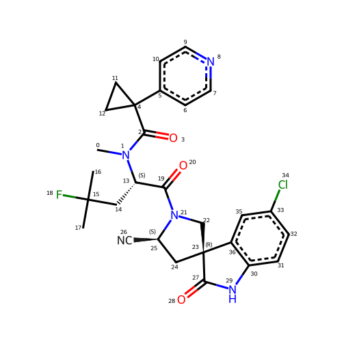 CN(C(=O)C1(c2ccncc2)CC1)[C@@H](CC(C)(C)F)C(=O)N1C[C@]2(C[C@H]1C#N)C(=O)Nc1ccc(Cl)cc12